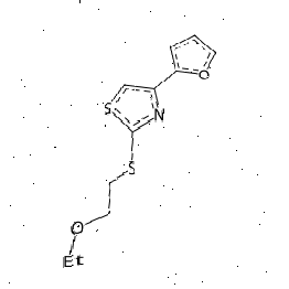 CCOCCSc1nc(-c2ccco2)cs1